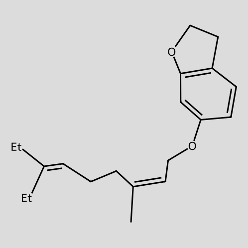 CCC(=CCCC(C)=CCOc1ccc2c(c1)OCC2)CC